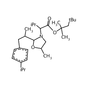 CC1CN(C(C(=O)OC(C)(C)CC(C)(C)C)C(C)C)C(C(C)Cc2ccc(C(C)C)cc2)O1